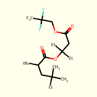 CCC(C)(C)CC(C(=O)OC(CC)(CC)CC(=O)OCC(F)(F)C(F)(F)F)C(C)(C)C